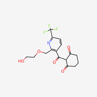 O=C1CCCC(=O)C1C(=O)c1ccc(C(F)(F)F)nc1COCCO